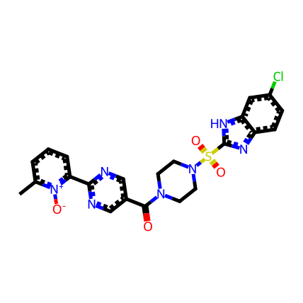 Cc1cccc(-c2ncc(C(=O)N3CCN(S(=O)(=O)c4nc5ccc(Cl)cc5[nH]4)CC3)cn2)[n+]1[O-]